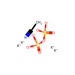 CC#N.O=P([O-])([O-])OP(=O)([O-])[O-].[K+].[K+].[K+].[K+]